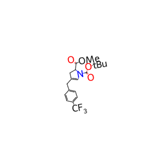 COC(=O)C1CC(Cc2ccc(C(F)(F)F)cc2)=CN1C(=O)OC(C)(C)C